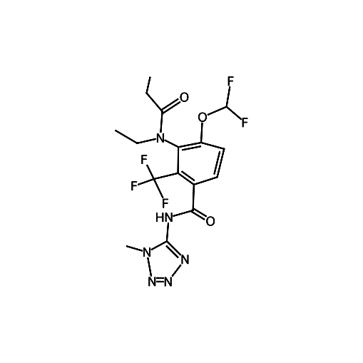 CCC(=O)N(CC)c1c(OC(F)F)ccc(C(=O)Nc2nnnn2C)c1C(F)(F)F